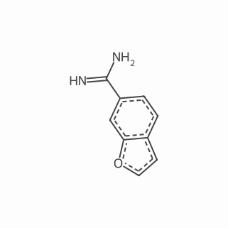 N=C(N)c1ccc2ccoc2c1